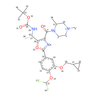 [CH2]N1CCN(C(=O)c2nc(-c3ccc(OC(F)F)c(OCC4CC4)c3)oc2[C@H](C)NC(=O)OC(C)(C)C)C(C)C1